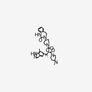 Cc1cc([C@@H](C)C(OC(=O)N2CCC(N3CCc4ccccc4NC3=O)CC2)C(=O)N2CCC(N(C)C)CC2)cc2cn[nH]c12